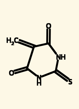 C=C1C(=O)NC(=S)NC1=O